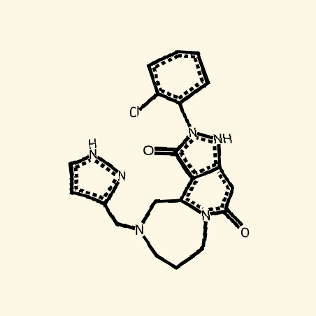 O=c1c2c3n(c(=O)cc2[nH]n1-c1ccccc1Cl)CCCN(Cc1cc[nH]n1)C3